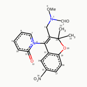 CON(C=O)CC1=C(n2ccccc2=O)c2cc([N+](=O)[O-])ccc2OC1(C)C